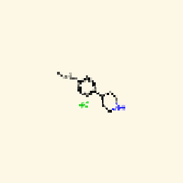 CSc1ccc(C2CCNCC2)cc1.Cl